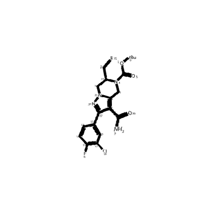 CC(C)(C)OC(=O)N1Cc2c(C(N)=O)c(-c3ccc(F)c(Cl)c3)nn2CC1CF